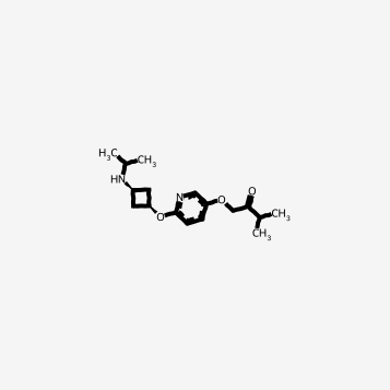 CC(C)N[C@H]1C[C@@H](Oc2ccc(OCC(=O)C(C)C)cn2)C1